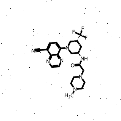 CN1CCN(CC(=O)N[C@H]2C[C@@H](C(F)(F)F)CN(c3ccc(C#N)c4nccnc34)C2)CC1